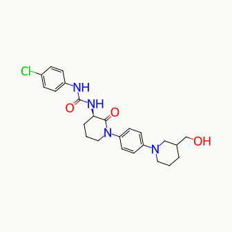 O=C(Nc1ccc(Cl)cc1)N[C@@H]1CCCN(c2ccc(N3CCCC(CO)C3)cc2)C1=O